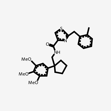 COc1cc(C2(CNC(=O)c3csc(Cc4ccccc4C)n3)CCCC2)cc(OC)c1OC